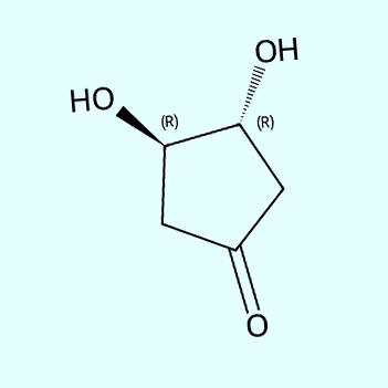 O=C1C[C@@H](O)[C@H](O)C1